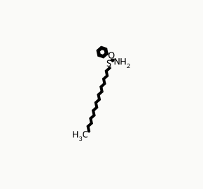 CCCCCCCCCCCCCCCCCCS[C](N)Oc1ccccc1